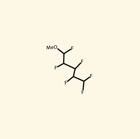 COC(F)C(F)C(F)C(F)C(F)F